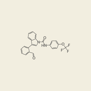 O=Cc1ccccc1-c1cn(C(=O)Nc2ccc(OC(F)(F)F)cc2)c2ccccc12